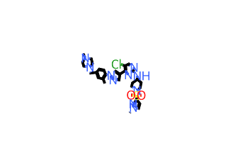 Cc1cc(CN2CCN(C)CC2)ccc1-n1cc(-c2nc(NC3CCN(S(=O)(=O)c4ccn(C)n4)CC3)ncc2Cl)cn1